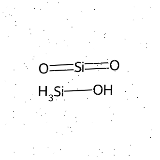 O=[Si]=O.O[SiH3]